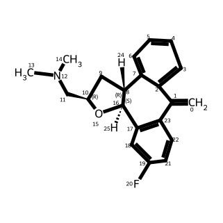 C=C1c2ccccc2[C@H]2C[C@H](CN(C)C)O[C@@H]2c2cc(F)ccc21